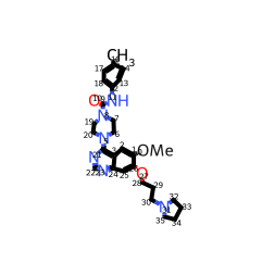 COc1cc2c(N3CCN(C(=O)Nc4ccc(C)cc4)CC3)ncnc2cc1OCCCN1CCCC1